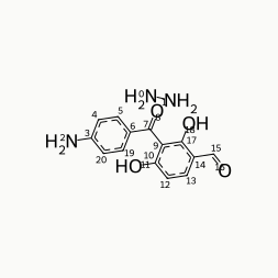 NN.Nc1ccc(C(=O)c2c(O)ccc(C=O)c2O)cc1